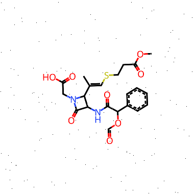 COC(=O)CCSC=C(C)C1C(NC(=O)C(OC=O)c2ccccc2)C(=O)N1CC(=O)O